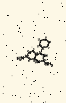 Nc1ccc2c(-c3ccccc3)nc(N)nc2c1